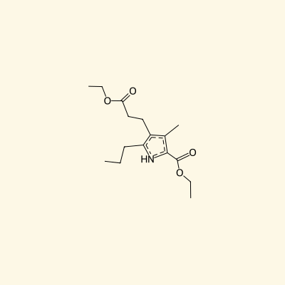 CCCc1[nH]c(C(=O)OCC)c(C)c1CCC(=O)OCC